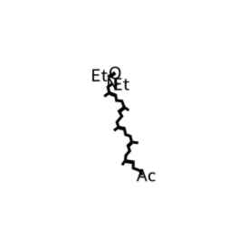 CCC(=O)N(CC)CC(C)=CCCC(C)=CCCC(C)=CCCC(C)=CCCC(C)=CCCC(C)=O